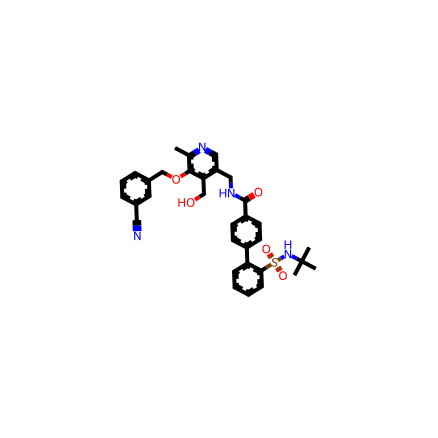 Cc1ncc(CNC(=O)c2ccc(-c3ccccc3S(=O)(=O)NC(C)(C)C)cc2)c(CO)c1OCc1cccc(C#N)c1